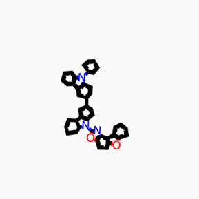 C1=CC2c3cc(-c4ccc5c(c4)c4ccccc4n5-c4ccccc4)ccc3N(c3nc4c(ccc5oc6ccccc6c54)o3)C2C=C1